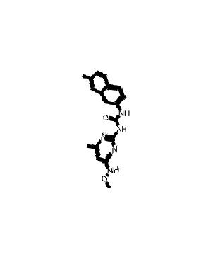 CONc1cc(C)nc(NC(=O)Nc2ccc3ccc(C)cc3c2)n1